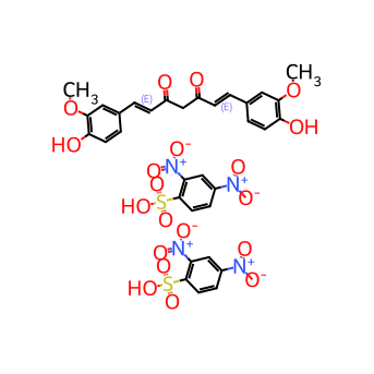 COc1cc(/C=C/C(=O)CC(=O)/C=C/c2ccc(O)c(OC)c2)ccc1O.O=[N+]([O-])c1ccc(S(=O)(=O)O)c([N+](=O)[O-])c1.O=[N+]([O-])c1ccc(S(=O)(=O)O)c([N+](=O)[O-])c1